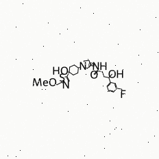 COCc1ncc(C2(O)CCC(N3CC[C@@H](NC(=O)CCC(O)c4cccc(CF)c4)C3)CC2)s1